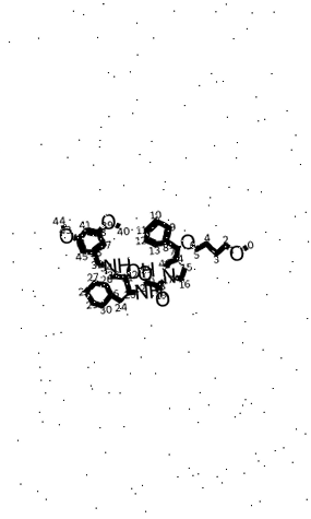 COCCCCO[C@@H](c1ccccc1)[C@@H]1CCN(C(=O)C(=O)N[C@@H](CC2CCCCC2)[C@H](O)CNCc2cc(OC)cc(OC)c2)C1